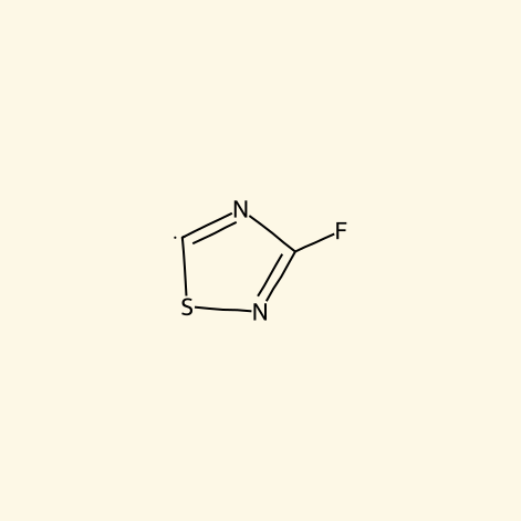 Fc1n[c]sn1